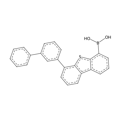 OB(O)c1cccc2c1sc1c(-c3cccc(-c4ccccc4)c3)cccc12